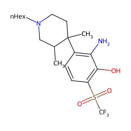 CCCCCCN1CCC(C)(c2ccc(S(=O)(=O)C(F)(F)F)c(O)c2N)C(C)C1